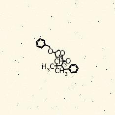 CC(C)(C)[C](Cc1ccccc1)C(=O)N1CC(OCc2ccccc2)CO1